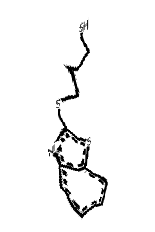 SCCCSc1nc2ccccc2s1